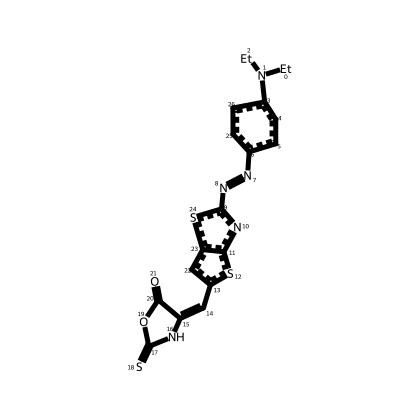 CCN(CC)c1ccc(/N=N/c2nc3sc(/C=C4/NC(=S)OC4=O)cc3s2)cc1